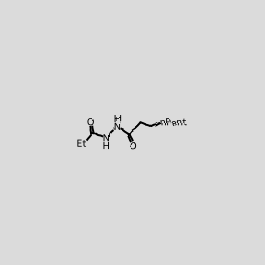 CCCCCCCC(=O)NNC(=O)CC